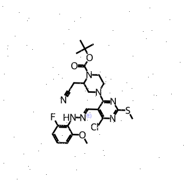 COc1cccc(F)c1N/N=C/c1c(Cl)nc(SC)nc1N1CCN(C(=O)OC(C)(C)C)C(CC#N)C1